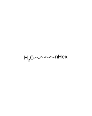 C=CCCCC=CC=CCCCCCCC